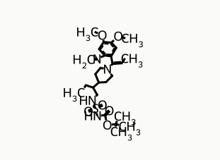 C=Nc1cc(OC)c(OC)cc1/C(=C\C)N1CCC(C(CC)CNS(=O)(=O)NC(=O)OC(C)(C)C)CC1